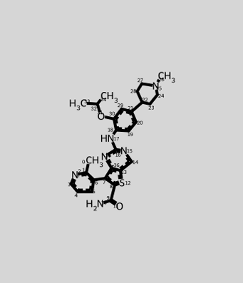 Cc1ncccc1-c1c(C(N)=O)sc2cnc(Nc3ccc(C4CCN(C)CC4)cc3OC(C)C)nc12